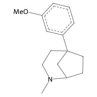 COc1cccc(C23CCC(C2)N(C)CC3)c1